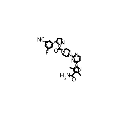 Cc1nn(-c2ccnc(N3CCN(C(=O)N4N=CC[C@H]4c4cc(F)cc(C#N)c4)CC3)n2)c(C)c1C(N)=O